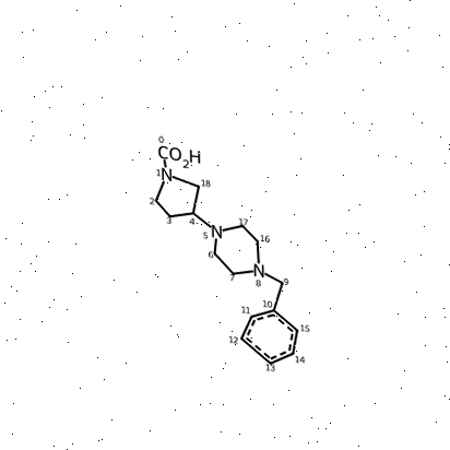 O=C(O)N1CCC(N2CCN(Cc3ccccc3)CC2)C1